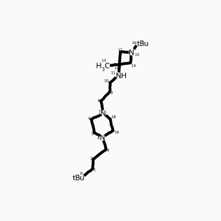 CC(C)(C)CCCN1CCN(CCCNC2(C)CN(C(C)(C)C)C2)CC1